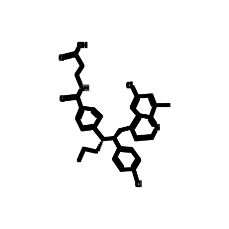 CCC[C@H](c1ccc(C(=O)NCCC(=O)O)cc1)[C@@H](Cc1ccnc2c(C)cc(Cl)cc12)c1ccc(Cl)cc1